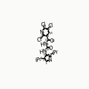 CC(C)c1cnn(C(C)C)c1NC(=O)NC(=O)c1cc(Cl)c(Cl)nc1Cl